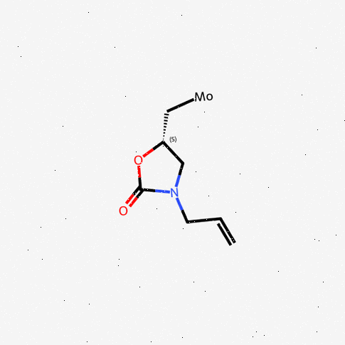 C=CCN1C[C@@H]([CH2][Mo])OC1=O